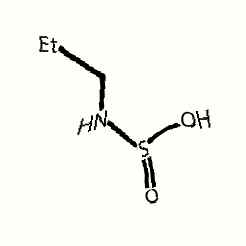 CCCNS(=O)O